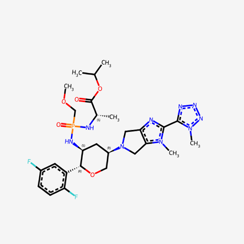 COCP(=O)(N[C@@H](C)C(=O)OC(C)C)N[C@H]1C[C@@H](N2Cc3nc(-c4nnnn4C)n(C)c3C2)CO[C@@H]1c1cc(F)ccc1F